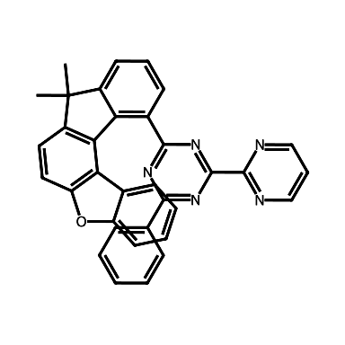 CC1(C)c2cccc(-c3nc(-c4ccccc4)nc(-c4ncccn4)n3)c2-c2c1ccc1oc3ccccc3c21